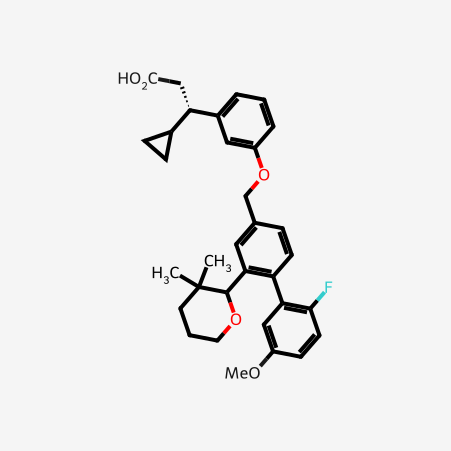 COc1ccc(F)c(-c2ccc(COc3cccc([C@@H](CC(=O)O)C4CC4)c3)cc2C2OCCCC2(C)C)c1